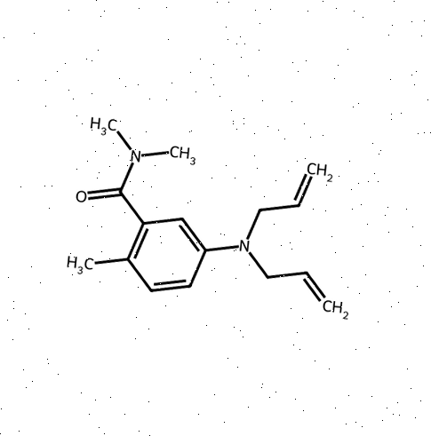 C=CCN(CC=C)c1ccc(C)c(C(=O)N(C)C)c1